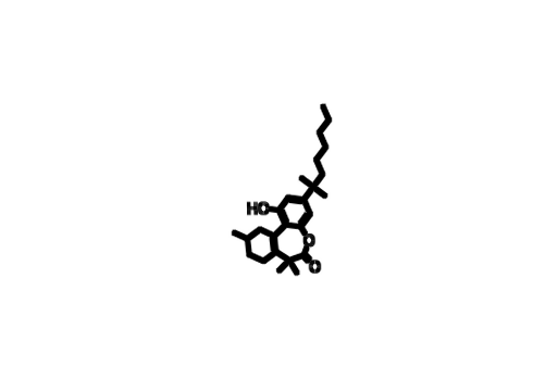 CCCCCCC(C)(C)c1cc(O)c2c(c1)OC(=O)C(C)(C)C1=C2CC(C)CC1